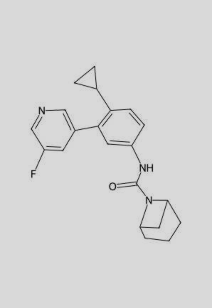 O=C(Nc1ccc(C2CC2)c(-c2cncc(F)c2)c1)N1C2CCCC1C2